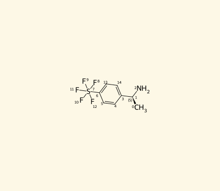 C[C@H](N)c1ccc(S(F)(F)(F)(F)F)cc1